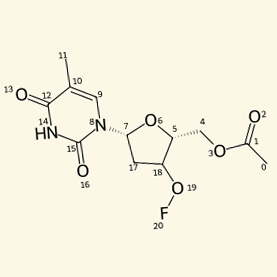 CC(=O)OC[C@H]1O[C@@H](n2cc(C)c(=O)[nH]c2=O)CC1OF